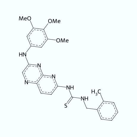 COc1cc(Nc2cnc3ccc(NC(=S)NCc4ccccc4C)nc3n2)cc(OC)c1OC